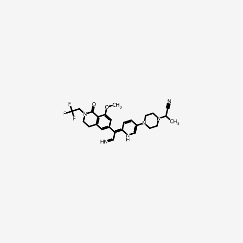 COc1cc(/C(C=N)=C2\C=CC(N3CCN(C(C)C#N)CC3)=CN2)cc2c1C(=O)N(CC(F)(F)F)CC2